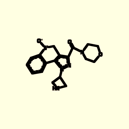 O=C(c1nn(C2CNC2)c2c1C[S+]([O-])c1ccccc1-2)N1CCOCC1